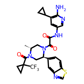 C[C@@H]1CN(C(=O)C(=O)Nc2cnc(N)c(C3CC3)c2)[C@@H](c2ccc3scnc3c2)CN1C(=O)C1(C(F)(F)F)CC1